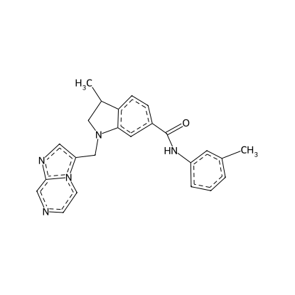 Cc1cccc(NC(=O)c2ccc3c(c2)N(Cc2cnc4cnccn24)CC3C)c1